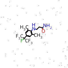 Cc1cc(C(F)(C(F)(F)F)C(F)(F)F)cc(C)c1NCCC(N)=O